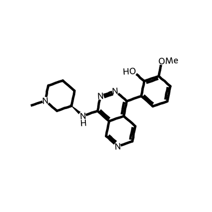 COc1cccc(-c2nnc(N[C@@H]3CCCN(C)C3)c3cnccc23)c1O